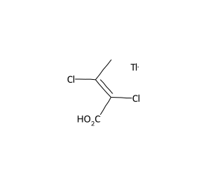 C/C(Cl)=C(\Cl)C(=O)O.[Tl]